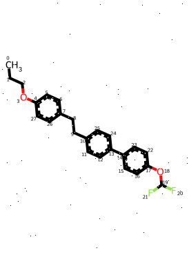 CCCOc1ccc(CCc2ccc(-c3ccc(OC(F)F)cc3)cc2)cc1